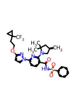 C=C1CN(c2nc(-n3ccc(OCCC4(C(F)(F)F)CC4)n3)ccc2C(=O)NS(=O)(=O)c2ccccc2)C(C)(C)C1